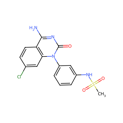 CS(=O)(=O)Nc1cccc(-n2c(=O)nc(N)c3ccc(Cl)cc32)c1